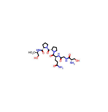 NC(=O)CC[C@H](NC(=O)CNC(=O)[C@@H](N)CO)C(=O)N1CCC[C@H]1C(=O)N1CCC[C@H]1C(=O)N[C@@H](CO)C(=O)O